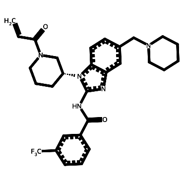 C=CC(=O)N1CCC[C@@H](n2c(NC(=O)c3cccc(C(F)(F)F)c3)nc3cc(CN4CCCCC4)ccc32)C1